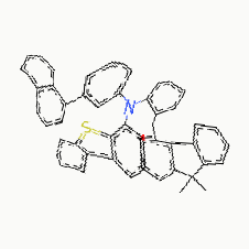 CC1(C)c2ccccc2-c2c(-c3ccccc3N(c3cccc(-c4cccc5ccccc45)c3)c3cccc4c3sc3ccccc34)cccc21